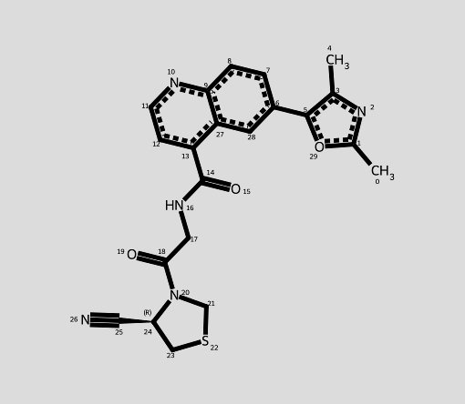 Cc1nc(C)c(-c2ccc3nccc(C(=O)NCC(=O)N4CSC[C@H]4C#N)c3c2)o1